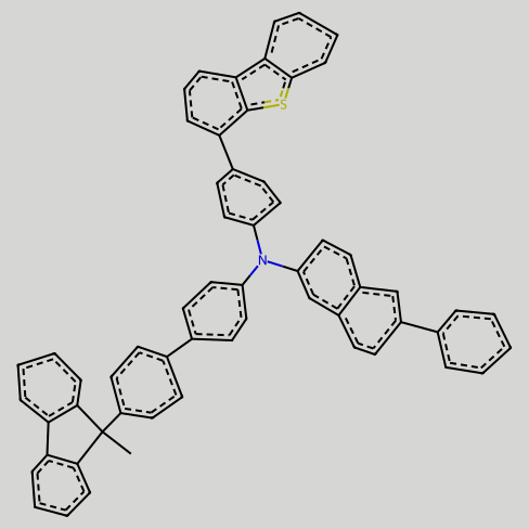 CC1(c2ccc(-c3ccc(N(c4ccc(-c5cccc6c5sc5ccccc56)cc4)c4ccc5cc(-c6ccccc6)ccc5c4)cc3)cc2)c2ccccc2-c2ccccc21